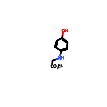 CCOC(=O)CNc1ccc(O)cc1